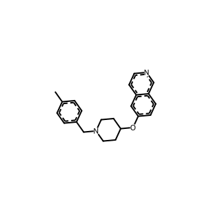 Cc1ccc(CN2CCC(Oc3ccc4cnccc4c3)CC2)cc1